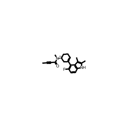 CC#CC(=O)N(C)[C@H]1CCC=C(c2c(F)ccc3[nH]c(C)c(C)c23)C1